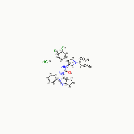 COCC(C(=O)O)N1C[C@@H](NC(=O)Nc2c3c(nn2-c2ccccc2)CCC3)[C@H](c2ccc(F)c(F)c2)C1.Cl